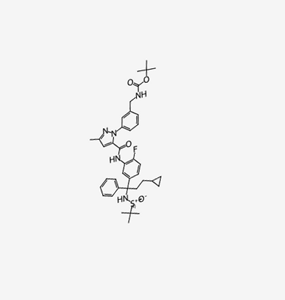 Cc1cc(C(=O)Nc2cc(C(CCC3CC3)(N[S@@+]([O-])C(C)(C)C)c3ccccc3)ccc2F)n(-c2cccc(CNC(=O)OC(C)(C)C)c2)n1